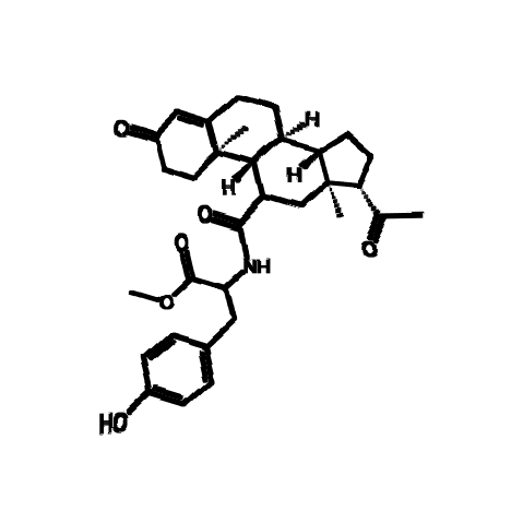 COC(=O)C(Cc1ccc(O)cc1)NC(=O)C1C[C@]2(C)[C@@H](C(C)=O)CC[C@H]2[C@@H]2CCC3=CC(=O)CC[C@]3(C)[C@@H]12